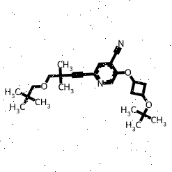 CC(C)(C)COCC(C)(C)C#Cc1cc(C#N)c(OC2CC(OC(C)(C)C)C2)cn1